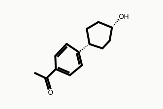 CC(=O)c1ccc([C@H]2CC[C@@H](O)CC2)cc1